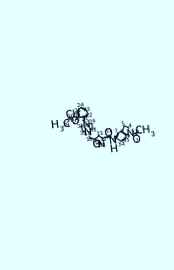 CC(=O)N1CCc2cc(NC(=O)C3=NOC(CN4CCN(c5ccccc5OC(C)C)CC4)C3)ccc21